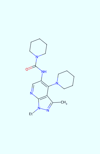 CCn1nc(C)c2c(N3CCCCC3)c(NC(=O)N3CCCCC3)cnc21